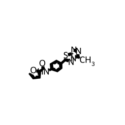 Cc1nnc2sc(-c3ccc(NC(=O)c4ccco4)cc3)nn12